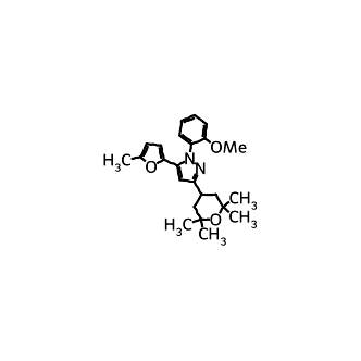 COc1ccccc1-n1nc(C2CC(C)(C)OC(C)(C)C2)cc1-c1ccc(C)o1